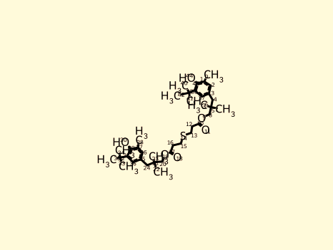 Cc1cc(CC(C)(C)COC(=O)CCSCCC(=O)OCC(C)(C)Cc2cc(C)c(O)c(C(C)(C)C)c2)cc(C(C)(C)C)c1O